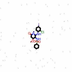 COc1cc(=O)n(C)c(Nc2ccc(I)cc2Cl)c1NS(=O)(=O)c1ccccc1